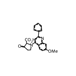 COc1ccc2c(N3CCC(=O)C3C(=O)O)cc(-c3ccccc3)nc2c1